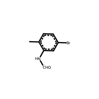 Cc1ccc(Br)cc1NC=O